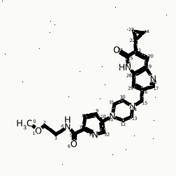 COCCNC(=O)c1ccc(N2CCN(Cc3cnc4cc(C5CC5)c(=O)[nH]c4c3)CC2)cn1